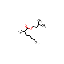 C=C(CCCCC)C(=O)OCCC(C)C